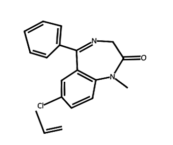 C=CC.CN1C(=O)CN=C(c2ccccc2)c2cc(Cl)ccc21